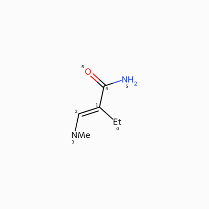 CC/C(=C\NC)C(N)=O